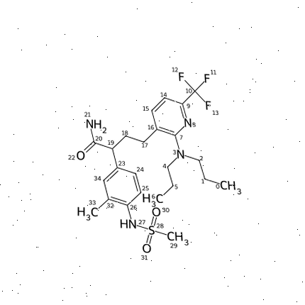 CCCN(CCC)c1nc(C(F)(F)F)ccc1CCC(C(N)=O)c1ccc(NS(C)(=O)=O)c(C)c1